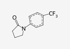 O=C1CCCN1c1ccc(C(F)(F)F)cc1